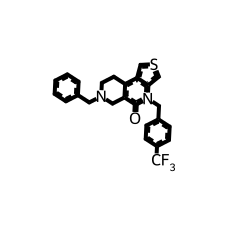 O=c1c2c(c3cscc3n1Cc1ccc(C(F)(F)F)cc1)CCN(Cc1ccccc1)C2